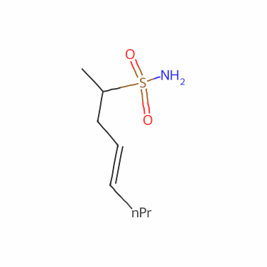 CCCC=CCC(C)S(N)(=O)=O